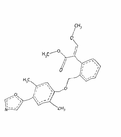 CO/C=C(\C(=O)OC)c1ccccc1COc1cc(C)c(-c2cnco2)cc1C